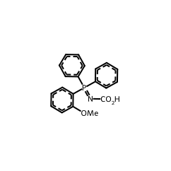 COc1ccccc1P(=NC(=O)O)(c1ccccc1)c1ccccc1